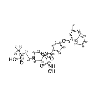 Cc1cc(COc2ccc(C(=O)NC3(CC(=O)NO)CCN(CCN(C(=O)O)C(C)(C)C)CC3)cc2)c2ccccc2n1